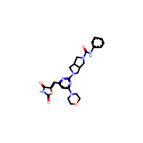 O=C1NC(=O)/C(=C/c2cc(N3CCOCC3)nc(N3CC4CN(C(=O)Nc5ccccc5)CC4C3)n2)S1